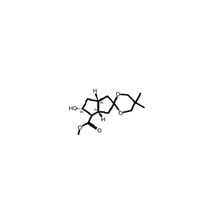 COC(=O)C1[C@H](O)C[C@@H]2CC3(C[C@H]12)OCC(C)(C)CO3